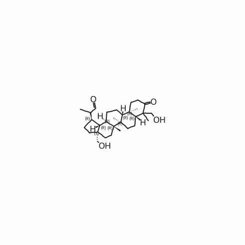 CC(C=O)[C@@H]1CC[C@]2(CO)CC[C@]3(C)[C@H](CC[C@@H]4[C@@]5(C)CCC(=O)C(C)(CO)[C@@H]5CC[C@]43C)[C@@H]12